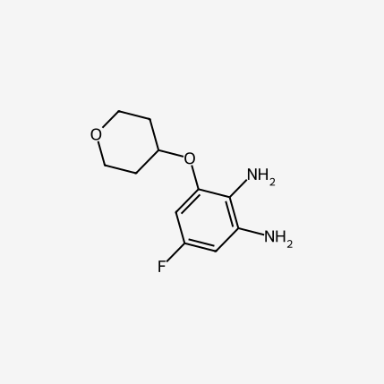 Nc1cc(F)cc(OC2CCOCC2)c1N